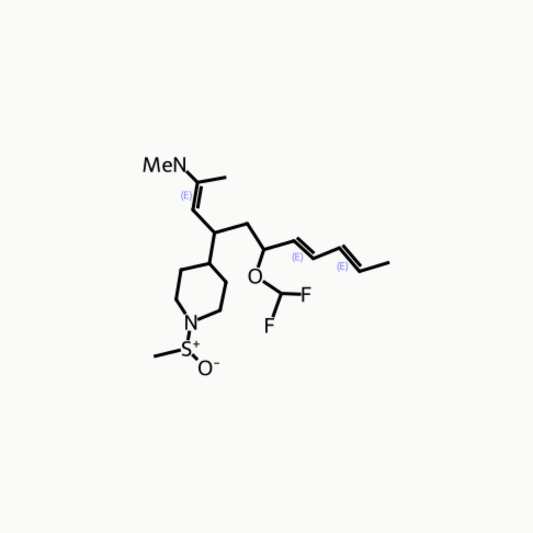 C/C=C/C=C/C(CC(/C=C(\C)NC)C1CCN([S+](C)[O-])CC1)OC(F)F